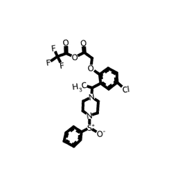 CC(c1cc(Cl)ccc1OCC(=O)OC(=O)C(F)(F)F)N1CCN([S+]([O-])c2ccccc2)CC1